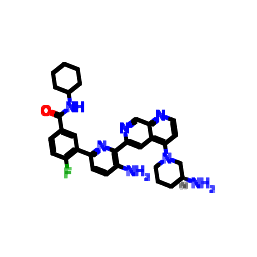 Nc1ccc(-c2cc(C(=O)NC3CCCCC3)ccc2F)nc1-c1cc2c(N3CCC[C@H](N)C3)ccnc2cn1